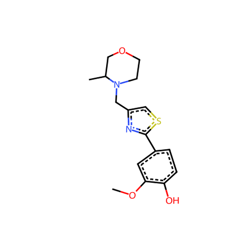 COc1cc(-c2nc(CN3CCOCC3C)cs2)ccc1O